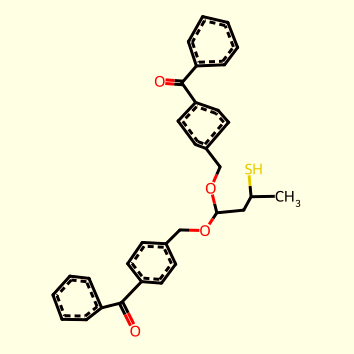 CC(S)CC(OCc1ccc(C(=O)c2ccccc2)cc1)OCc1ccc(C(=O)c2ccccc2)cc1